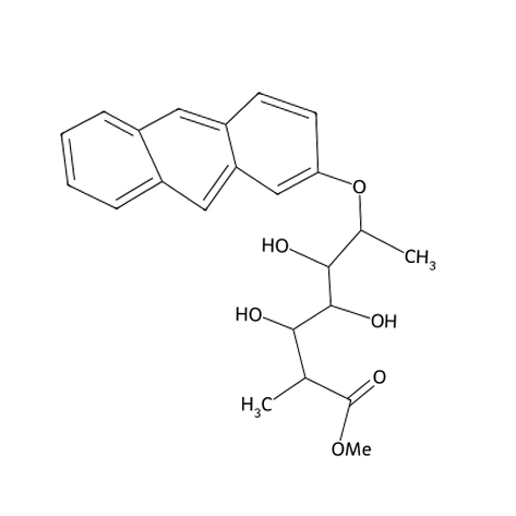 COC(=O)C(C)C(O)C(O)C(O)C(C)Oc1ccc2cc3ccccc3cc2c1